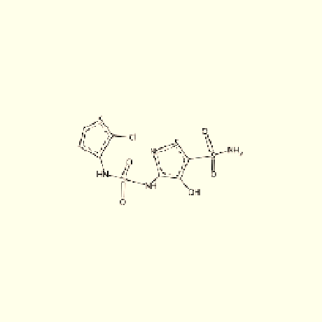 NS(=O)(=O)c1snc(NS(=O)(=O)Nc2ccsc2Cl)c1O